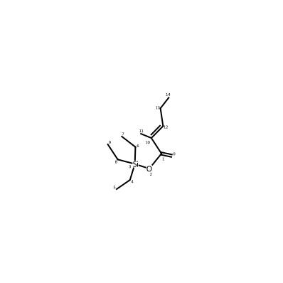 C=C(O[Si](CC)(CC)CC)C(C)=CCC